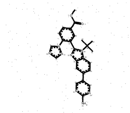 COC(=O)c1ccc(-n2cncn2)c(-c2nc3cc(-c4cnc(N)nc4)ccc3n2C(C)(C)C)c1